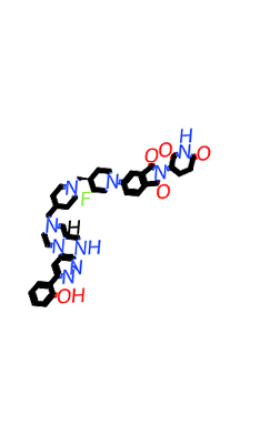 O=C1CCC(N2C(=O)c3ccc(N4CC[C@H](CN5CCC(CN6CCN7c8cc(-c9ccccc9O)nnc8NC[C@H]7C6)CC5)[C@H](F)C4)cc3C2=O)C(=O)N1